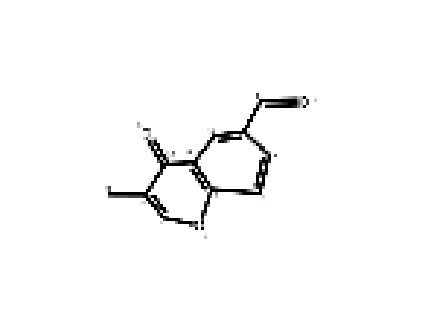 Cc1coc2ccc(C=O)cc2c1=O